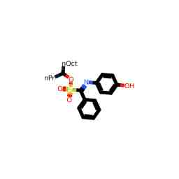 CCCCCCCCC(CCC)OS(=O)(=O)C(=Nc1ccc(O)cc1)c1ccccc1